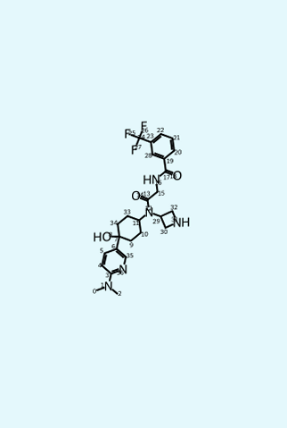 CN(C)c1ccc(C2(O)CCC(N(C(=O)CNC(=O)c3cccc(C(F)(F)F)c3)C3CNC3)CC2)cn1